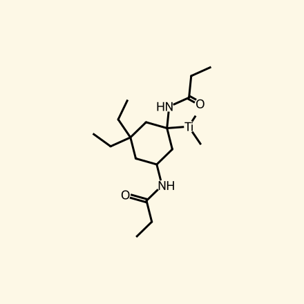 CCC(=O)NC1CC(CC)(CC)C[C](NC(=O)CC)([Ti]([CH3])[CH3])C1